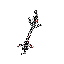 CC(C)c1cc(N=C=O)cc(C(C)C)c1N1C(=O)c2cc(Oc3ccc(C(C)(C)C)cc3)c3c4c(c(Oc5ccc(C(C)(C)C)cc5)cc(c24)C1=O)C1=CC=C2c4cc5cc6c(cc5cc4C4=CC=C3C1C42)/C=C\c1cc2cc3c(cc2cc1CC6)-c1ccc2c4c(Oc5ccc(C(C)(C)C)cc5)cc5c6c(cc(Oc7ccc(C(C)(C)C)cc7)c(c7ccc-3c1c72)c64)C(=O)N(c1c(C(C)C)cc(N=C=O)cc1C(C)C)C5=O